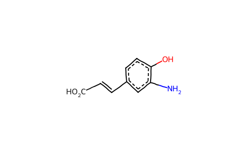 Nc1cc(C=CC(=O)O)ccc1O